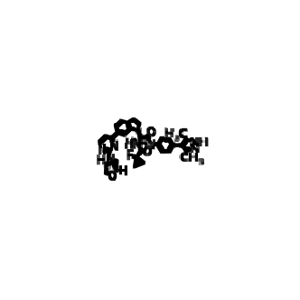 Cc1n[nH]c(C)c1-c1ccc(NC(=O)[C@@H](NC(=O)C2(F)CC2)[C@@H]2CCc3ccc(-c4ccnc(N5C[C@@H]6C[C@H]5CO6)n4)cc32)cc1